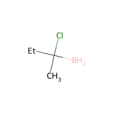 BC(C)(Cl)CC